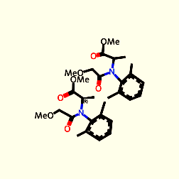 COCC(=O)N(c1c(C)cccc1C)C(C)C(=O)OC.COCC(=O)N(c1c(C)cccc1C)[C@H](C)C(=O)OC